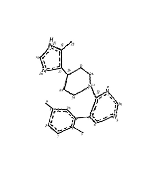 Cc1ccc(C)c(-c2cncnc2N2CCC(c3nc[nH]c3C)CC2)c1